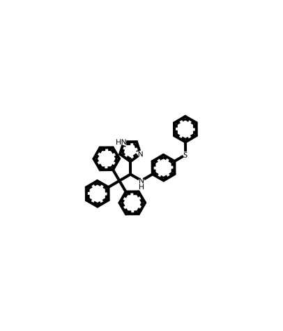 c1ccc(Sc2ccc(NC(c3c[nH]cn3)C(c3ccccc3)(c3ccccc3)c3ccccc3)cc2)cc1